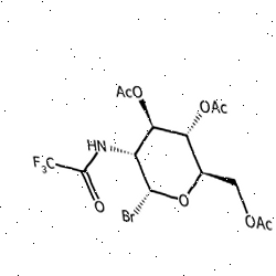 CC(=O)OC[C@H]1O[C@H](Br)[C@H](NC(=O)C(F)(F)F)[C@@H](OC(C)=O)[C@@H]1OC(C)=O